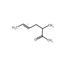 C/C=C/CC(C)C(C)=O